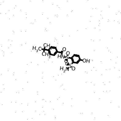 CC(C)(C)c1ccc(C(=O)NS(=O)(=O)c2ccc(O)cc2S(N)(=O)=O)cc1